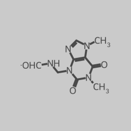 Cn1c(=O)c2c(ncn2C)n(CN[C]=O)c1=O